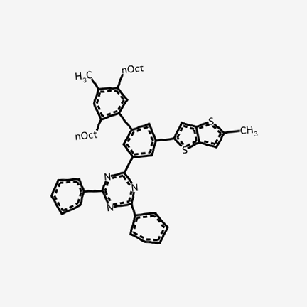 CCCCCCCCc1cc(-c2cc(-c3nc(-c4ccccc4)nc(-c4ccccc4)n3)cc(-c3cc4sc(C)cc4s3)c2)c(CCCCCCCC)cc1C